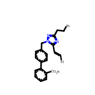 CCC=Cc1nc(CCC(C)C)nn1Cc1ccc(-c2ccccc2C(=O)O)cc1